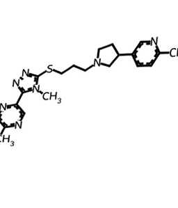 Cc1cnc(-c2nnc(SCCCN3CCC(c4ccc(C(F)(F)F)nc4)C3)n2C)cn1